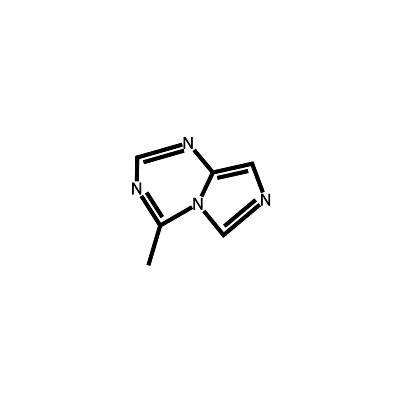 Cc1ncnc2cncn12